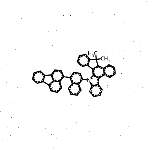 CC1(C)c2ccccc2-c2c1c1ccccc1c1c3ccccc3n(-c3ccc(-c4ccc5c6c(cccc46)-c4ccccc4-5)c4ccccc34)c21